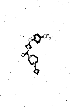 O=C(N1CCCN(C2CCC2)CC1)N1CC(Oc2ccc(C(F)(F)F)cc2)C1